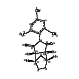 Cc1cc(O)cc(C)c1C1C(=O)[C@@H]2[C@@H]3CC[C@@H](C3)[C@@H]2C1=O